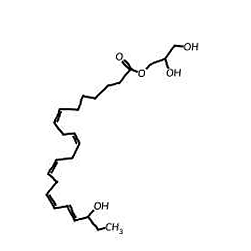 CCC(O)/C=C/C=C\C/C=C\C/C=C\C/C=C\CCCCCC(=O)OCC(O)CO